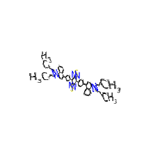 CCCCN(CCCC)c1ccc(-c2ccc(-c3c4c(c(-c5ccc(-c6ccc(N(CCCC)CCCC)c7ccccc67)cc5)c5nsnc35)N=S=N4)cc2)c2ccccc12